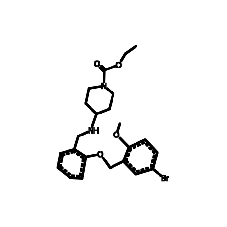 CCOC(=O)N1CCC(NCc2ccccc2OCc2cc(Br)ccc2OC)CC1